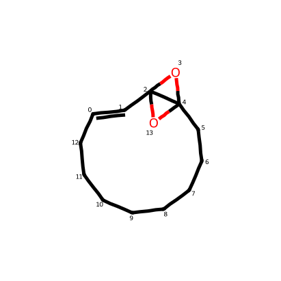 C1=C/C23OC2(CCCCCCCC/1)O3